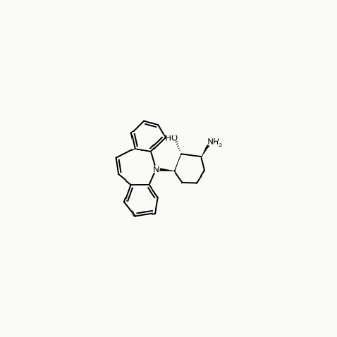 N[C@H]1CCC[C@@H](N2c3ccccc3C=Cc3ccccc32)[C@@H]1O